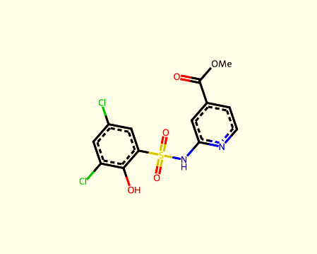 COC(=O)c1ccnc(NS(=O)(=O)c2cc(Cl)cc(Cl)c2O)c1